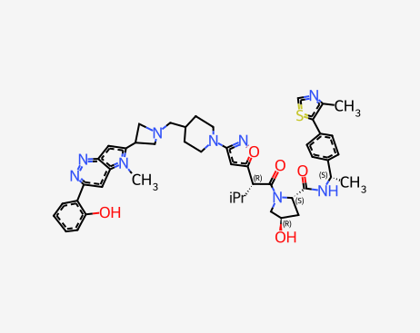 Cc1ncsc1-c1ccc([C@H](C)NC(=O)[C@@H]2C[C@@H](O)CN2C(=O)[C@@H](c2cc(N3CCC(CN4CC(c5cc6nnc(-c7ccccc7O)cc6n5C)C4)CC3)no2)C(C)C)cc1